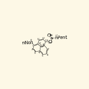 CCCCCCCCCc1ccc2cccc3c2c1C=CC3OC(=O)CCCCC